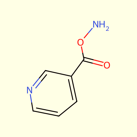 NOC(=O)c1cccnc1